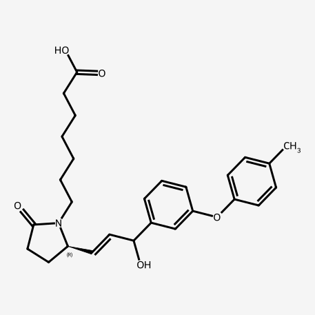 Cc1ccc(Oc2cccc(C(O)C=C[C@H]3CCC(=O)N3CCCCCCC(=O)O)c2)cc1